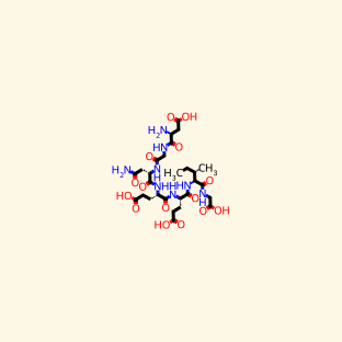 CC[C@H](C)[C@H](NC(=O)[C@H](CCC(=O)O)NC(=O)[C@H](CCC(=O)O)NC(=O)[C@H](CC(N)=O)NC(=O)CNC(=O)[C@@H](N)CC(=O)O)C(=O)NCC(=O)O